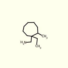 CCC1(CN)CCCCCCC1C